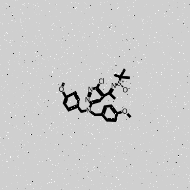 COc1ccc(CN(Cc2ccc(OC)cc2)c2cc(/C(C)=N/[S@+]([O-])C(C)(C)C)c(Cl)nn2)cc1